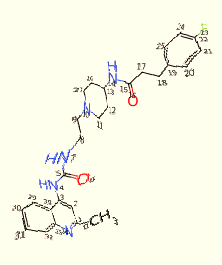 Cc1cc(NC(=O)NCCN2CCC(NC(=O)CCc3ccc(F)cc3)CC2)c2ccccc2n1